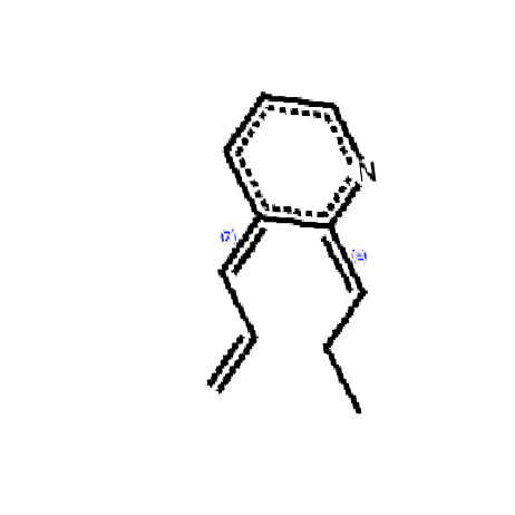 C=C/C=c1/cccn/c1=C/CC